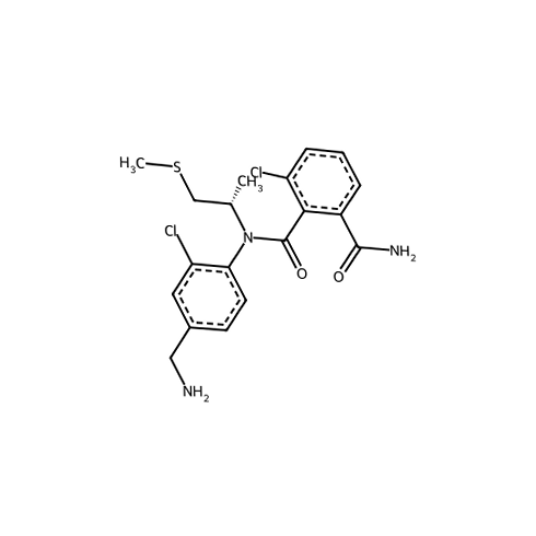 CSC[C@H](C)N(C(=O)c1c(Cl)cccc1C(N)=O)c1ccc(CN)cc1Cl